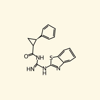 N=C(NC(=O)C1C[C@H]1c1ccccc1)Nc1nc2ccccc2s1